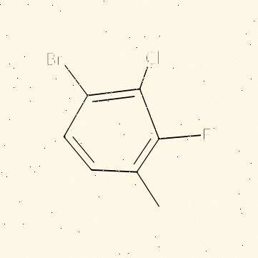 Cc1ccc(Br)c(Cl)c1F